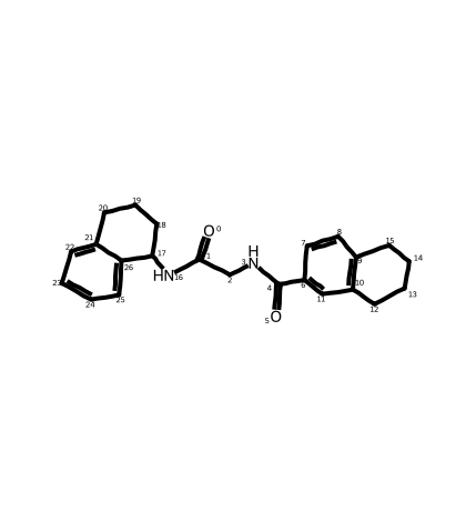 O=C(CNC(=O)c1ccc2c(c1)CCCC2)NC1CCCc2ccccc21